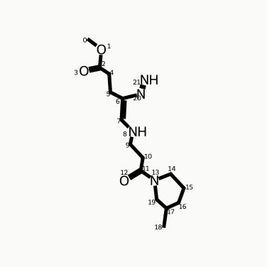 COC(=O)CC/C(=C/NCCC(=O)N1CCCC(C)C1)N=N